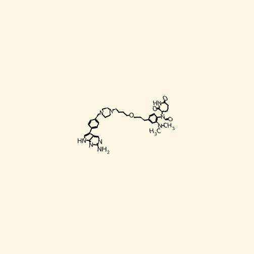 CN(C)c1cc(CCCOCCCCN2CCN(Cc3ccc(-c4c[nH]c5nc(N)ncc45)cc3)CC2)ccc1N(C=O)C1CCC(=O)NC1=O